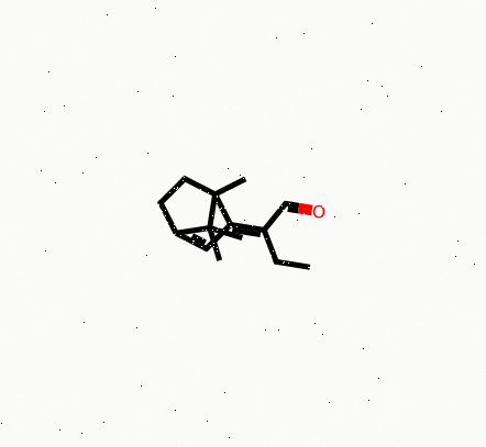 CCC(C=O)=C1C=C2CCC1(C)C2(C)C